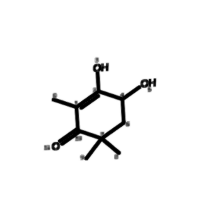 CC1=C(O)C(O)CC(C)(C)C1=O